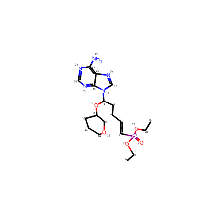 CCOP(=O)(C=CCCC(OC1CCCOC1)n1cnc2c(N)ncnc21)OCC